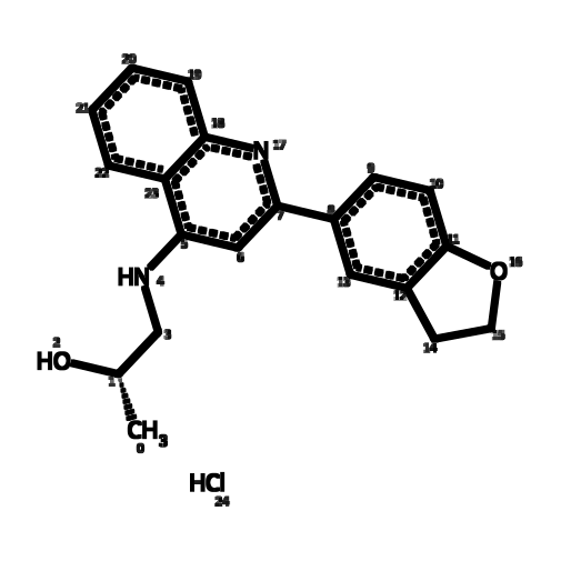 C[C@H](O)CNc1cc(-c2ccc3c(c2)CCO3)nc2ccccc12.Cl